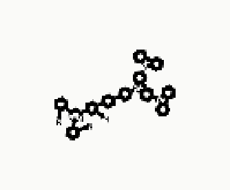 N#Cc1cc(-c2cc(-c3ccccc3C#N)nc(-c3ccccc3C#N)n2)ccc1-c1ccc(-c2ccc(-n3c4ccc(-n5c6ccccc6c6ccccc65)cc4c4cc(-n5c6ccccc6c6ccccc65)ccc43)cc2)cc1